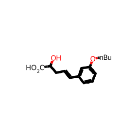 CCCCOc1cccc(/C=C/CC(O)C(=O)O)c1